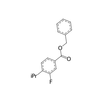 CC(C)c1ccc(C(=O)OCc2ccccc2)cc1F